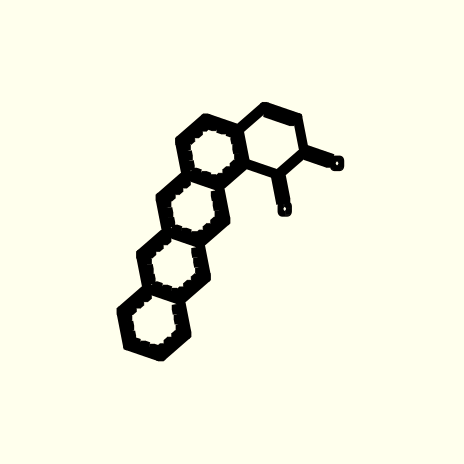 O=C1C=Cc2ccc3cc4cc5ccccc5cc4cc3c2C1=O